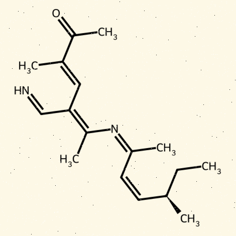 CC[C@@H](C)\C=C/C(C)=N\C(C)=C(C=N)/C=C(\C)C(C)=O